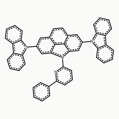 c1ccc(-c2cccc(-n3c4cc(-n5c6ccccc6c6ccccc65)cc5ccc6cc(-n7c8ccccc8c8ccccc87)cc3c6c54)n2)cc1